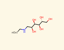 CCCCCCCCCNC[C@H](O)[C@@H](O)[C@H](O)[C@H](O)CO